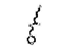 CC(C)CCCCC(=O)NCCN1CCOCC1